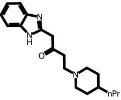 CCCC1CCN(CCC(=O)Cc2nc3ccccc3[nH]2)CC1